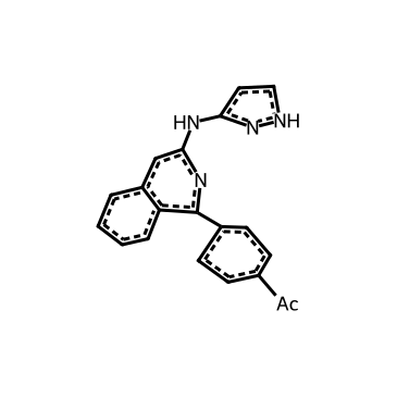 CC(=O)c1ccc(-c2nc(Nc3cc[nH]n3)cc3ccccc23)cc1